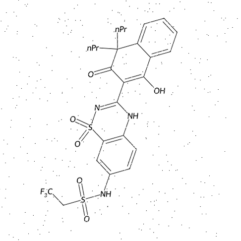 CCCC1(CCC)C(=O)C(C2=NS(=O)(=O)c3cc(NS(=O)(=O)CC(F)(F)F)ccc3N2)=C(O)c2ccccc21